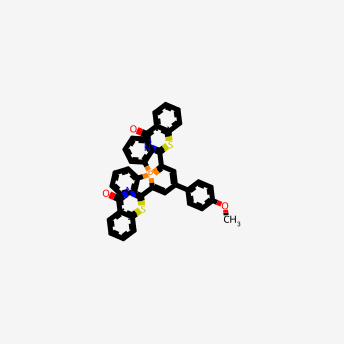 COc1ccc(C2=CC(c3nc(=O)c4ccccc4s3)=P(c3ccccc3)(c3ccccc3)C(c3nc(=O)c4ccccc4s3)=C2)cc1